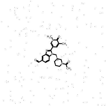 CC(=O)N1CCC[C@@H](Cn2c(-c3cc(C)c(=O)n(C)c3)nc3cc(C=O)ccc32)C1